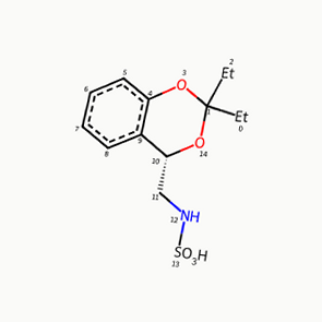 CCC1(CC)Oc2ccccc2[C@@H](CNS(=O)(=O)O)O1